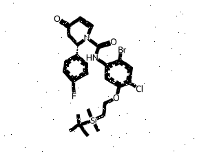 CC(C)(C)[Si](C)(C)CCOc1cc(NC(=O)N2C=CC(=O)C[C@H]2c2ccc(F)cc2)c(Br)cc1Cl